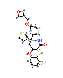 O=C1CC(c2ccsc2)(c2cccc(OCC3COC3)n2)NC(=O)C1Sc1ccccc1Cl